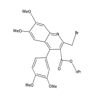 CCCOC(=O)c1c(CBr)nc2cc(OC)c(OC)cc2c1-c1ccc(OC)c(OC)c1